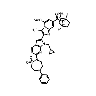 COc1cc(C(=O)N2[C@H]3CC[C@@H]2[C@H](N)C3)cc2nc(-c3cc4ccc(N5CCN(c6ccccc6)CCS5(=O)=O)nc4n3CC3CC3)c(C)n12